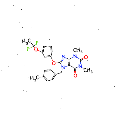 Cc1ccc(Cn2c(Oc3cccc(OC(C)(F)F)c3)nc3c2c(=O)n(C)c(=O)n3C)cc1